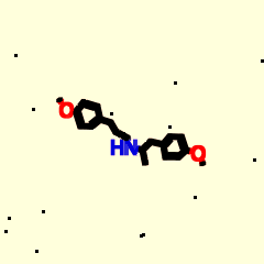 COc1ccc(CCCNC(C)Cc2ccc(OC)cc2)cc1